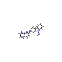 CCn1c2ccccc2c2ccc(-c3ccc4nccnc4n3)cc21